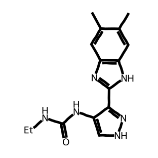 CCNC(=O)Nc1c[nH]nc1-c1nc2cc(C)c(C)cc2[nH]1